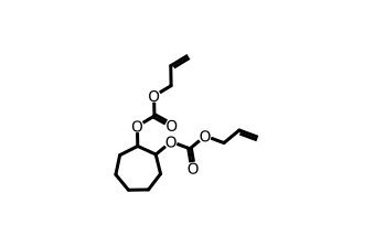 C=CCOC(=O)OC1CCCCCC1OC(=O)OCC=C